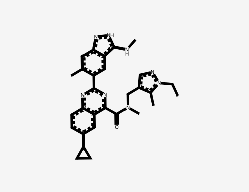 CCn1ncc(CN(C)C(=O)c2nc(-c3cc4c(NC)[nH]nc4cc3C)nc3ccc(C4CC4)cc23)c1C